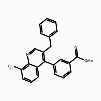 COC(=O)c1cccc(-c2c(Cc3ccccc3)cnc3c(C(F)(F)F)cccc23)c1